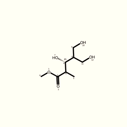 COC(=O)C(C)[C@H](O)C(CO)CO